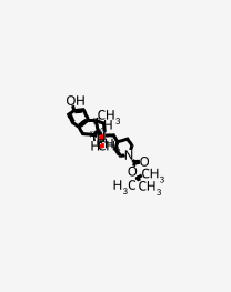 CN1CC[C@]2(C)c3cc(O)ccc3C[C@@H]1[C@@H]2N(C)CC1CCN(C(=O)OC(C)(C)C)CC1